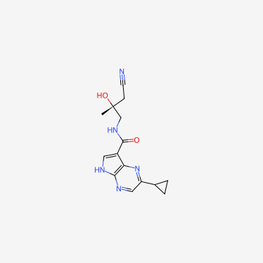 C[C@@](O)(CC#N)CNC(=O)c1c[nH]c2ncc(C3CC3)nc12